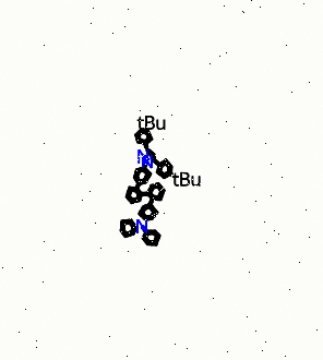 CC(C)(C)c1ccc(-c2cc(-c3ccc(C(C)(C)C)cc3)n(-c3ccc(-c4ccccc4-c4ccccc4-c4ccc(N(c5ccccc5)c5ccccc5)cc4)cc3)n2)cc1